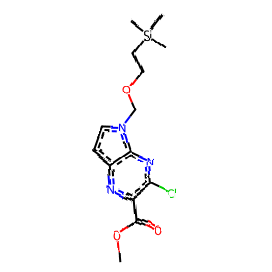 COC(=O)c1nc2ccn(COCC[Si](C)(C)C)c2nc1Cl